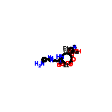 CC[C@@H]1C[C@H](N(C)C)[C@@H](O)C(O[C@@H]2[C@H](C)C(=O)[C@@H](C)C(=O)O[C@H](CC)[C@@]3(C)OC(=O)N(CCCCn4cc(-c5cccc(N)c5)nn4)[C@@H]3[C@@H](C)NC[C@H](C)C[C@@]2(C)OC)O1